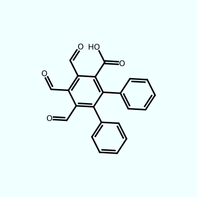 O=Cc1c(C=O)c(C(=O)O)c(-c2ccccc2)c(-c2ccccc2)c1C=O